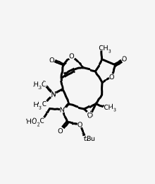 CC1C(=O)OC2CC3(C)OC3C(N(CC(=O)O)C(=O)OC(C)(C)C)C(N(C)C)C3=CC(OC3=O)C21